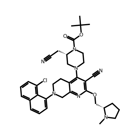 CN1CCC[C@H]1COc1nc2c(c(N3CCN(C(=O)OC(C)(C)C)[C@@H](CC#N)C3)c1C#N)CCN(c1cccc3cccc(Cl)c13)C2